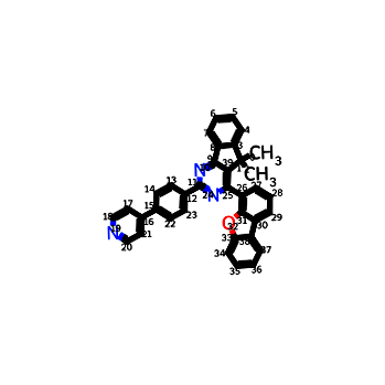 CC1(C)c2ccccc2-c2nc(-c3ccc(-c4ccncc4)cc3)nc(-c3cccc4c3oc3ccccc34)c21